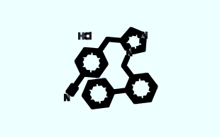 Cl.N#Cc1ccc(Cc2cncn2Cc2ccccc2-c2ccccc2)cc1